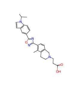 Cc1c(-c2noc(-c3ccc4c(ccn4C(C)C)c3)n2)ccc2c1CCN(CCC(=O)O)C2